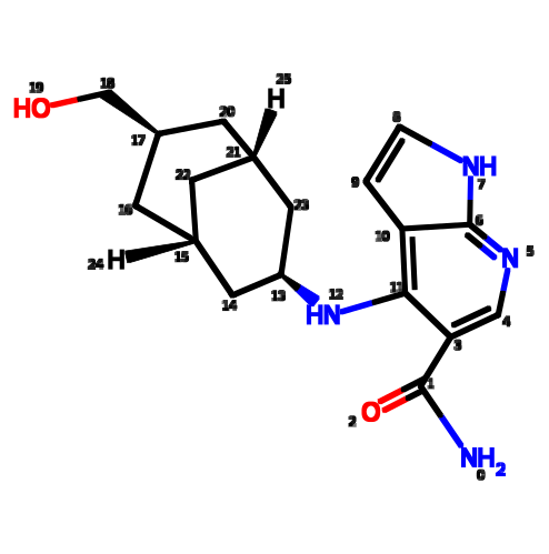 NC(=O)c1cnc2[nH]ccc2c1N[C@H]1C[C@@H]2C[C@@H](CO)C[C@@H](C2)C1